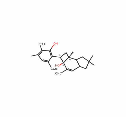 COc1cc(C)c(C(=O)O)c(O)c1[C@H]1C[C@]2(C)C3CC(C)(C)CC3C=C(C=O)[C@]12O